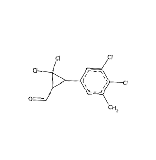 Cc1cc(C2C(C=O)C2(Cl)Cl)cc(Cl)c1Cl